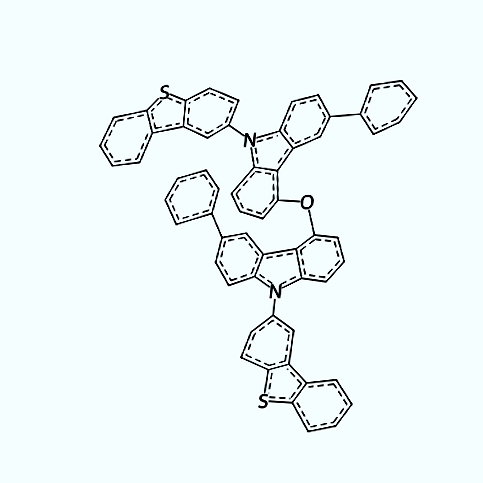 c1ccc(-c2ccc3c(c2)c2c(Oc4cccc5c4c4cc(-c6ccccc6)ccc4n5-c4ccc5sc6ccccc6c5c4)cccc2n3-c2ccc3sc4ccccc4c3c2)cc1